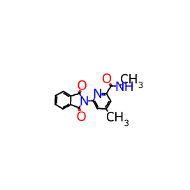 CNC(=O)c1cc(C)cc(N2C(=O)c3ccccc3C2=O)n1